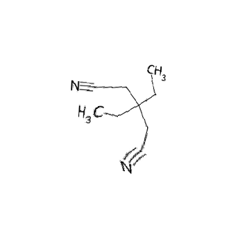 CCC(CC)(CC#N)CC#N